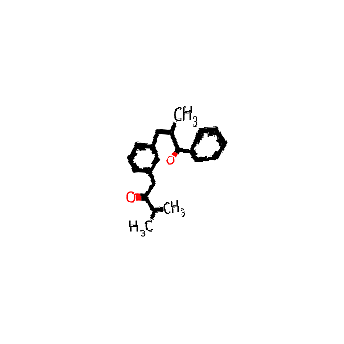 CC(C)C(=O)Cc1cccc(CC(C)C(=O)c2ccccc2)c1